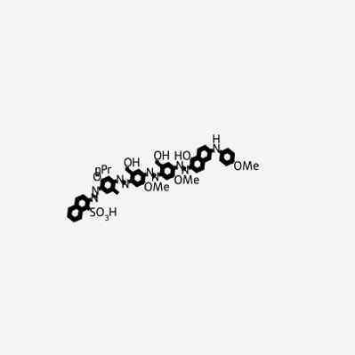 CCCOc1cc(N=Nc2cc(OC)c(N=Nc3cc(OC)c(N=Nc4ccc5cc(Nc6ccc(OC)cc6)ccc5c4O)cc3CO)cc2CO)c(C)cc1N=Nc1ccc2ccccc2c1S(=O)(=O)O